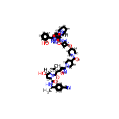 CC(C)[C@@H](C(=O)N1C[C@H](O)C[C@H]1C(=O)N[C@@H](C)c1ccc(C#N)cc1)c1cc(N2CCC(C(=O)N3CCC(OC4CC(Oc5cc(N6C7CC[C@@H]6CN(c6cc(-c8ccccc8O)nnc6N)C7)ccn5)C4)CC3)CC2)no1